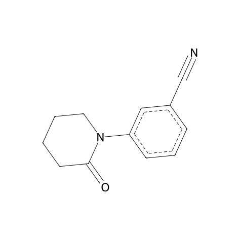 N#Cc1cccc(N2CCCCC2=O)c1